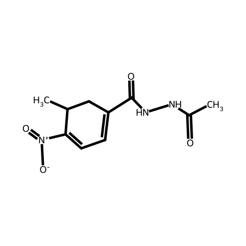 CC(=O)NNC(=O)C1=CC=C([N+](=O)[O-])C(C)C1